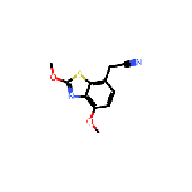 COc1nc2c(OC)ccc(CC#N)c2s1